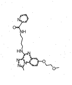 COCCOc1ccc2c(c1)nc(NCCCCNC(=O)c1ccccn1)c1nnc(C)n12